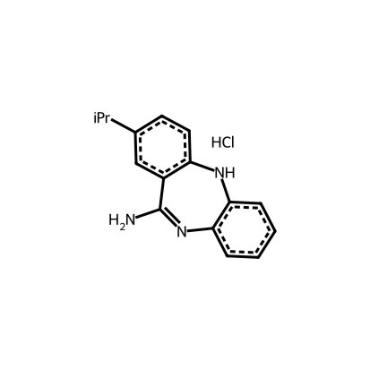 CC(C)c1ccc2c(c1)C(N)=Nc1ccccc1N2.Cl